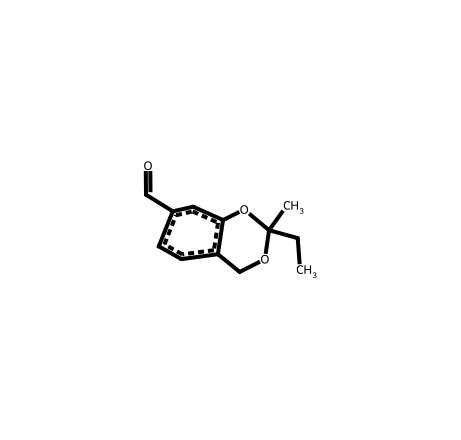 CCC1(C)OCc2ccc(C=O)cc2O1